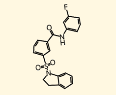 O=C(Nc1cccc(F)c1)c1cccc(S(=O)(=O)N2CCc3ccccc32)c1